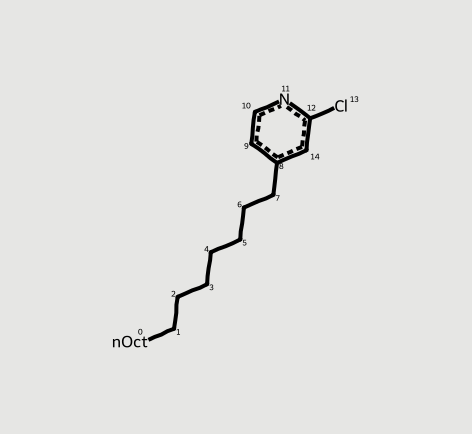 CCCCCCCCCCCCCCCc1ccnc(Cl)c1